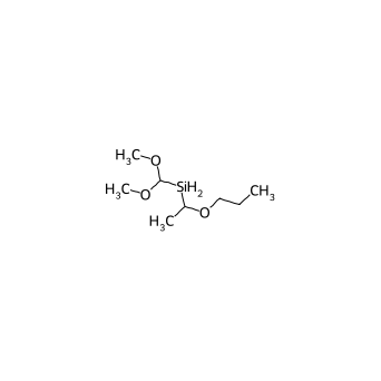 CCCOC(C)[SiH2]C(OC)OC